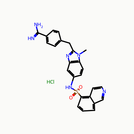 Cl.Cn1c(Cc2ccc(C(=N)N)cc2)nc2cc(NS(=O)(=O)c3cccc4cnccc34)ccc21